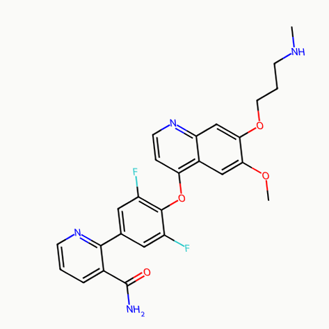 CNCCCOc1cc2nccc(Oc3c(F)cc(-c4ncccc4C(N)=O)cc3F)c2cc1OC